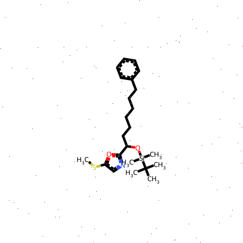 CSc1cnc(C(CCCCCCc2ccccc2)O[Si](C)(C)C(C)(C)C)o1